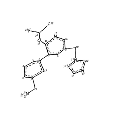 NCc1cccc(-c2cc(Cn3cncn3)cnc2OC(F)F)c1